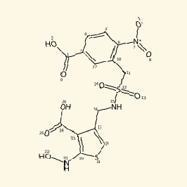 O=C(O)c1ccc([N+](=O)[O-])c(CS(=O)(=O)NCc2csc(NO)c2C(=O)O)c1